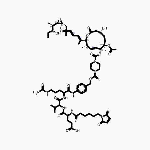 CC[C@H](O)[C@@H](C)[C@H]1O[C@@H]1CC(C)(O)/C=C/C=C(\C)[C@H]1OC(=O)C[C@H](O)CC[C@@](C)(OC(C)=O)[C@@H](OC(=O)N2CCN(C(=O)OCc3ccc(NC(=O)C(CCCNC(N)=O)NC(=O)C(NC(=O)C(CCC(=O)O)NC(=O)CCCCCN4C(=O)C=CC4=O)C(C)C)cc3)CC2)/C=C/[C@@H]1C